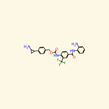 Nc1ccccc1NC(=O)c1ccc(NC(=O)OCc2ccc(C3CC3N)cc2)c(C(F)(F)F)c1